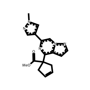 COC(=O)C1(c2nc(-c3cnn(C)c3)cn3nccc23)CC=CC1